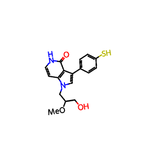 COC(CO)Cn1cc(-c2ccc(S)cc2)c2c(=O)[nH]ccc21